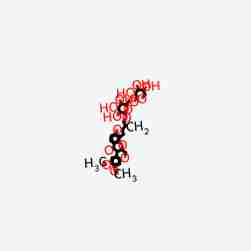 C=C(COC1OC(COC2OCC(O)C(O)C2O)C(O)C(O)C1O)C1Cc2c(ccc3c2OC2COc4cc(OC)c(OC)cc4C2C3=O)O1